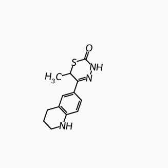 CC1SC(=O)NN=C1c1ccc2c(c1)CCCN2